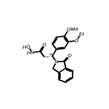 CCOc1cc([C@@H](CC(=O)NO)N2Cc3ccccc3C2=O)ccc1OC